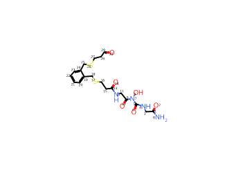 NC(=O)CNC(=O)N(O)C(=O)CNC(=O)CCSCc1ccccc1CSCCC=O